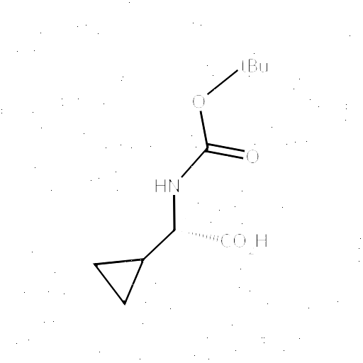 CC(C)(C)OC(=O)N[C@H](C(=O)O)C1CC1